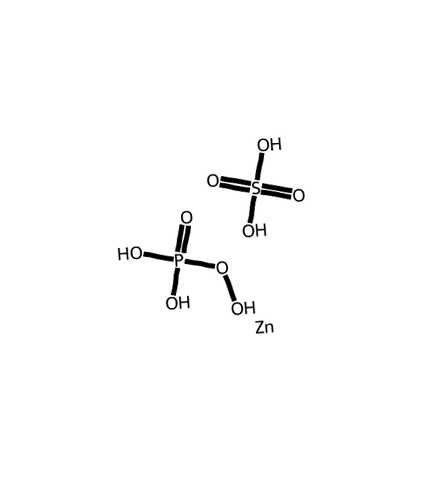 O=P(O)(O)OO.O=S(=O)(O)O.[Zn]